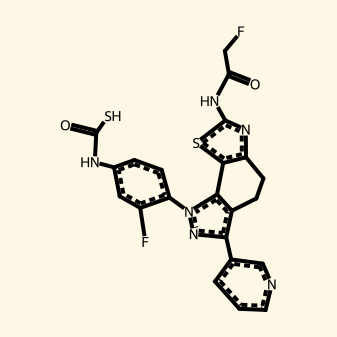 O=C(S)Nc1ccc(-n2nc(-c3cccnc3)c3c2-c2sc(NC(=O)CF)nc2CC3)c(F)c1